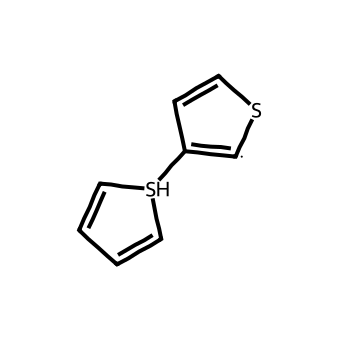 [c]1sccc1[SH]1C=CC=C1